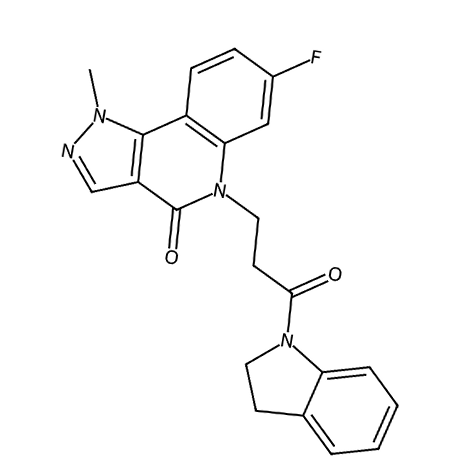 Cn1ncc2c(=O)n(CCC(=O)N3CCc4ccccc43)c3cc(F)ccc3c21